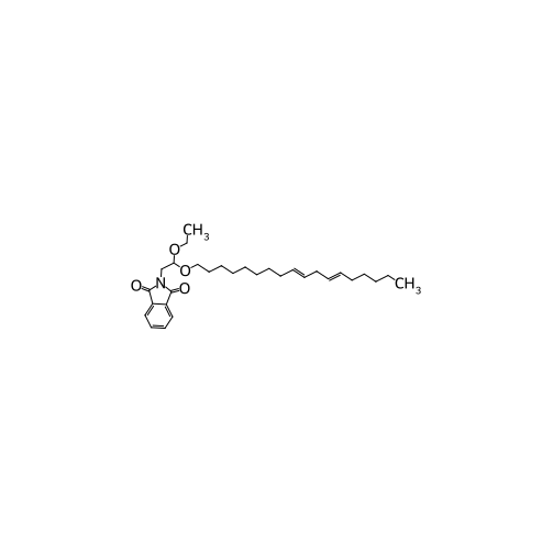 CCCCCC=CCC=CCCCCCCCCOC(CN1C(=O)c2ccccc2C1=O)OCC